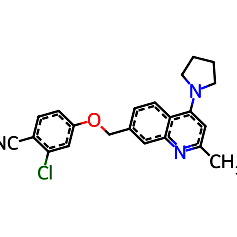 Cc1cc(N2CCCC2)c2ccc(COc3ccc(C#N)c(Cl)c3)cc2n1